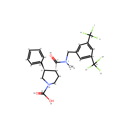 CN(Cc1cc(C(F)(F)F)cc(C(F)(F)F)c1)C(=O)[C@@H]1CCN(C(=O)O)C[C@H]1c1ccccc1